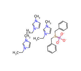 CC[n+]1ccn(C)c1.CC[n+]1ccn(C)c1.CC[n+]1ccn(C)c1.[O-]P([O-])([O-])=S(Cc1ccccc1)Cc1ccccc1